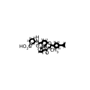 C[C@H](NC(=O)c1ccon1)[C@H](Oc1ccc(C(=O)N[C@H]2CCCN(C(=O)O)C2)nc1)c1ccc(C2CC2)cc1